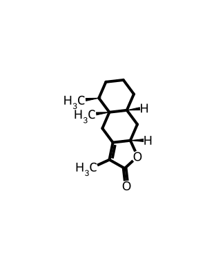 CC1=C2C[C@@]3(C)[C@H](CCC[C@@H]3C)C[C@@H]2OC1=O